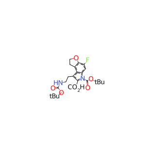 CC(C)(C)OC(=O)NCCc1c(C(=O)O)n(C(=O)OC(C)(C)C)c2cc(F)c3c(c12)CCO3